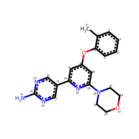 Cc1ccccc1Oc1cc(-c2cnc(N)nc2)nc(N2CCOCC2)c1